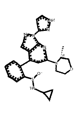 C[C@@H]1COCCN1c1cc(-c2ccccc2[S+]([O-])NC2CC2)c2cnn(-c3cc[nH]n3)c2n1